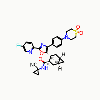 N#CC1(NC(=O)[C@@H]2C[C@@H]3C[C@@H]3C[C@H]2c2oc(-c3ccc(F)cn3)nc2-c2ccc(N3CCS(=O)(=O)CC3)cc2)CC1